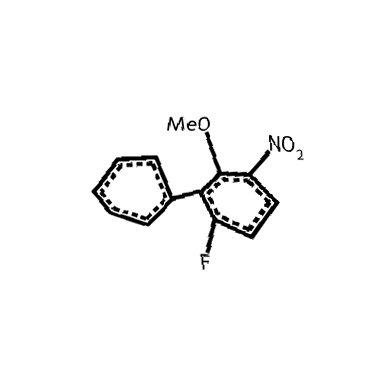 COc1c([N+](=O)[O-])ccc(F)c1-c1ccccc1